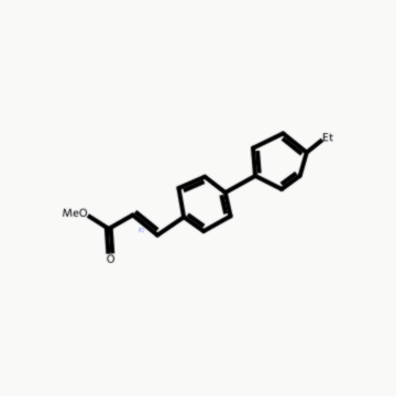 CCc1ccc(-c2ccc(/C=C/C(=O)OC)cc2)cc1